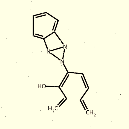 C=C/C=C\C(=C(\O)C=C)n1n2c3ccccc3n12